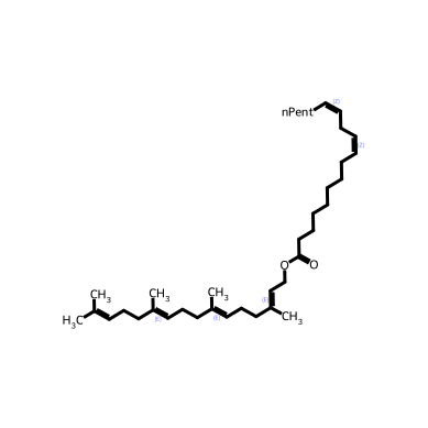 CCCCC/C=C\C/C=C\CCCCCCCC(=O)OC/C=C(\C)CC/C=C(\C)CC/C=C(\C)CCC=C(C)C